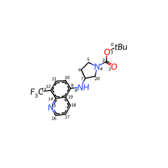 CC(C)(C)OC(=O)N1CCC(Nc2ccc(C(F)(F)F)c3ncccc23)C1